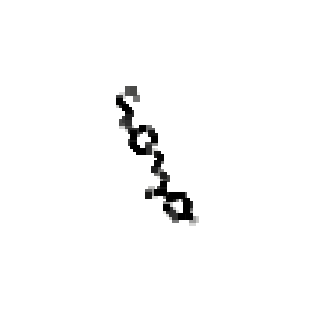 CCCOC1CCN(CCCC(=O)c2ccc(F)cc2)CC1